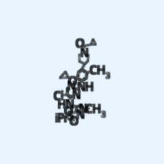 Cc1cc(Nc2ncc(Cl)c(Nc3cn(C)nc3S(=O)(=O)C(C)C)n2)c(OC2CC2)cc1C1CCN(C(=O)C2CC2)CC1